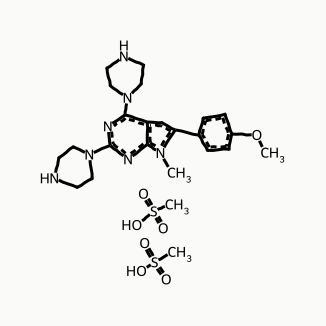 COc1ccc(-c2cc3c(N4CCNCC4)nc(N4CCNCC4)nc3n2C)cc1.CS(=O)(=O)O.CS(=O)(=O)O